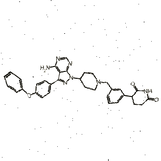 Nc1ncnc2c1c(-c1ccc(Oc3ccccc3)cc1)nn2C1CCN(Cc2cccc(C3CCC(=O)NC3=O)c2)CC1